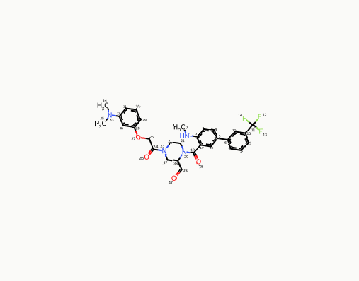 CNc1ccc(-c2cccc(C(F)(F)F)c2)cc1C(=O)N1CCN(C(=O)COc2cccc(N(C)C)c2)CC1C=O